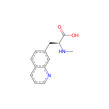 CN[C@@H](Cc1ccc2cccnc2c1)C(=O)O